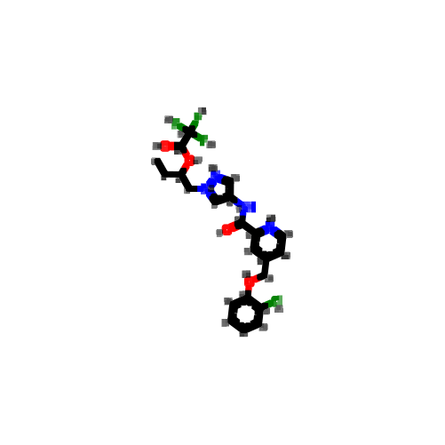 CCC(Cn1cc(NC(=O)c2cc(COc3ccccc3Cl)ccn2)cn1)OC(=O)C(F)(F)F